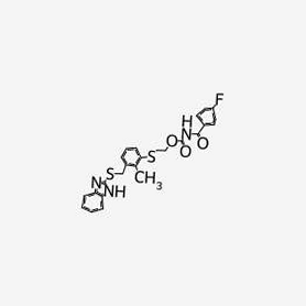 Cc1c(CSc2nc3ccccc3[nH]2)cccc1SCCOC(=O)NC(=O)c1ccc(F)cc1